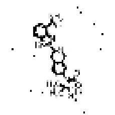 CC(C)(C)N(C(=O)O)c1ccc2c(c1)CNC(c1nc3c(C(N)=O)cccc3[nH]1)C2